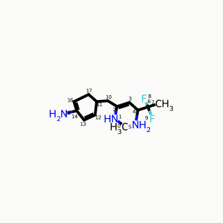 CN/C(=C\C(N)C(C)(F)F)CC1C=CC(N)=CC1